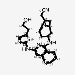 N#CCC12CC3CC(Nc4nc(Nc5ncc(CCO)s5)cc5ncccc45)CC1N32